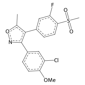 COc1ccc(-c2noc(C)c2-c2ccc(S(C)(=O)=O)c(F)c2)cc1Cl